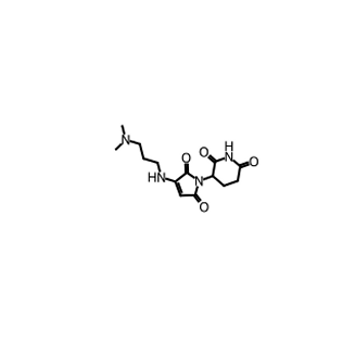 CN(C)CCCNC1=CC(=O)N(C2CCC(=O)NC2=O)C1=O